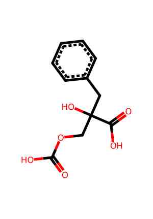 O=C(O)OCC(O)(Cc1ccccc1)C(=O)O